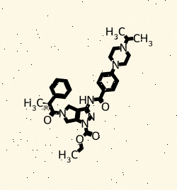 CCOC(=O)n1nc(NC(=O)c2ccc(N3CCN(C(C)C)CC3)cc2)c2c1CN(C(=O)[C@H](C)c1ccccc1)C2